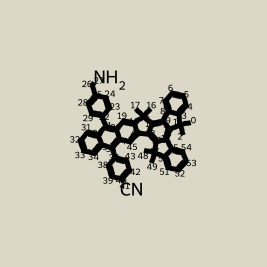 CC1(C)c2ccccc2-c2c1c1c(c3c2C(C)(C)c2cc4c(-c5ccc(CN)cc5)c5ccccc5c(-c5ccc(C#N)cc5)c4cc2-3)C(C)(C)c2ccccc2-1